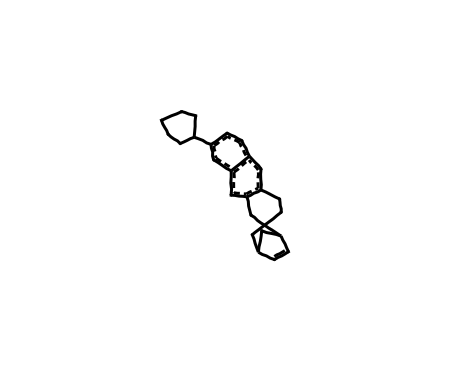 C1=CC2CC1CC21CCc2cc3ccc(C4CCCCC4)cc3cc2C1